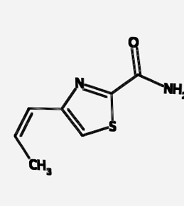 C/C=C\c1csc(C(N)=O)n1